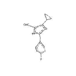 O=Cc1nc(-c2ccc(F)cc2)oc1C1CC1